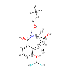 C[Si](C)(C)CCOCN1C(=O)c2cccc(OC(F)F)c2[C@@H]2CC(=O)[C@H]1C2